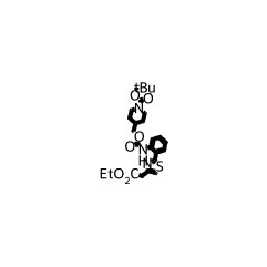 CCOC(=O)Cc1csc(-c2ccccc2NC(=O)OCC2CCN(C(=O)OC(C)(C)C)CC2)n1